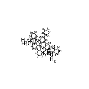 Cc1ccccc1N1B2c3cccc4c3N(c3ccccc3[Si]4(C)C)c3cc(-c4ccccc4)cc(c32)-c2cc3c(cc21)C(C)(C)c1ccccc1O3